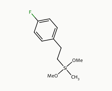 CO[Si](C)(CCc1ccc(F)cc1)OC